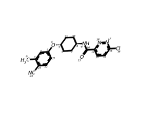 Cc1cc(O[C@H]2CC[C@H](NC(=O)c3ccc(Cl)nn3)CC2)ccc1C#N